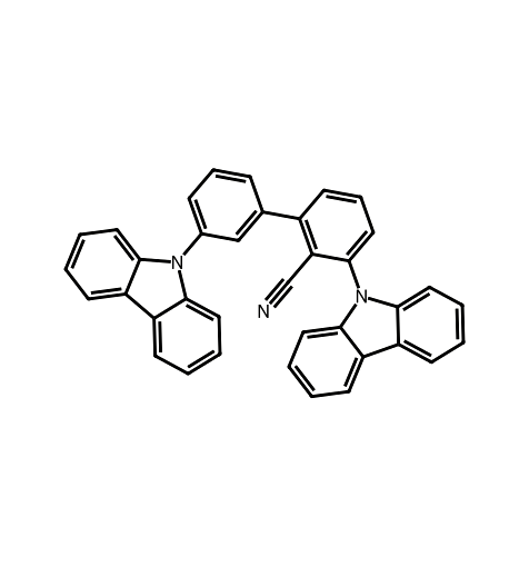 N#Cc1c(-c2cccc(-n3c4ccccc4c4ccccc43)c2)cccc1-n1c2ccccc2c2ccccc21